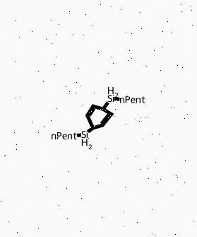 CCCCC[SiH2]C1C=CC([SiH2]CCCCC)C=C1